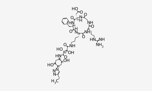 CCc1cn([C@@H]2C[C@@H](O)[C@H](NC(=O)[C@H](O)[C@@H](O)C(=O)NCCCC[C@@H]3NC(=O)[C@@H](Cc4ccccc4)NC(=O)[C@H](CC(=O)O)NC(=O)CNC(=O)[C@H](CCCNC(=N)N)NC3=O)C[C@H]2O)nn1